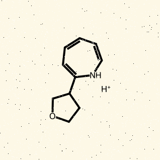 C1=CC=C(C2CCOC2)NC=C1.[H+]